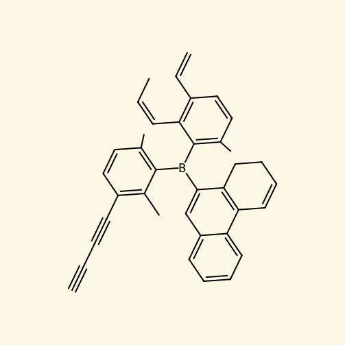 C#CC#Cc1ccc(C)c(B(c2cc3ccccc3c3c2CCC=C3)c2c(C)ccc(C=C)c2/C=C\C)c1C